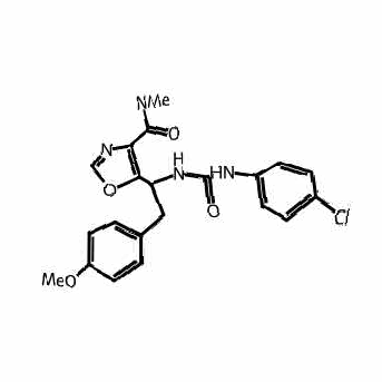 CNC(=O)c1ncoc1C(Cc1ccc(OC)cc1)NC(=O)Nc1ccc(Cl)cc1